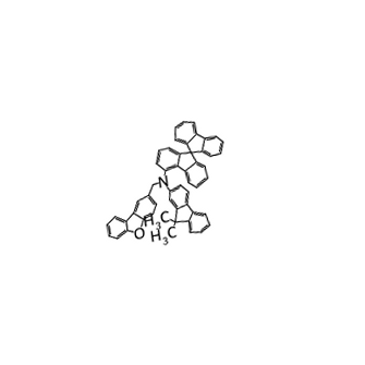 CC1(C)c2ccccc2-c2ccc(N(Cc3ccc4oc5ccccc5c4c3)c3cccc4c3-c3ccccc3C43c4ccccc4-c4ccccc43)cc21